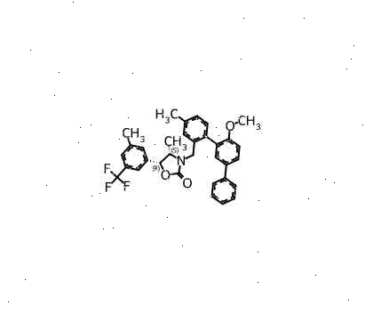 COc1ccc(-c2ccccc2)cc1-c1ccc(C)cc1CN1C(=O)O[C@H](c2cc(C)cc(C(F)(F)F)c2)[C@@H]1C